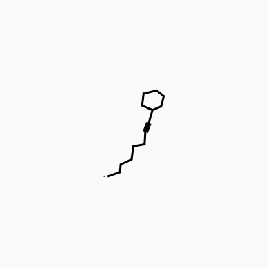 [CH2]CCCCCC#CC1CCCCC1